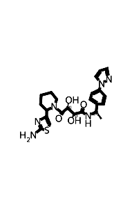 C[C@@H](NC(=O)[C@H](O)[C@@H](O)C(=O)N1CCCCC1c1csc(N)n1)c1ccc(-n2cccn2)cc1